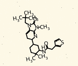 Cn1c2c(n(CC(C)(C)C)c1=O)=CCC(C1CCC(C)(C)C(NC(=O)Cc3ccsc3)C1)N=2